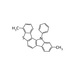 Cc1ccc2c3ccc4sc5c(C)cccc5c4c3n(-c3ccccc3)c2c1